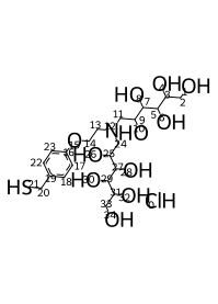 Cl.OCC(O)C(O)C(O)C(O)CN(CCOc1ccc(CS)cc1)CC(O)C(O)C(O)C(O)CO